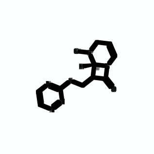 O=C1C(CSc2nccnn2)[C@H]2N1C=CC[S+]2[O-]